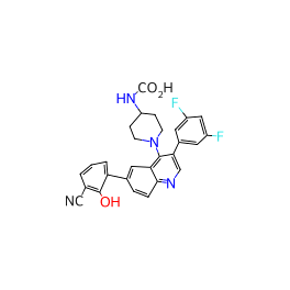 N#Cc1cccc(-c2ccc3ncc(-c4cc(F)cc(F)c4)c(N4CCC(NC(=O)O)CC4)c3c2)c1O